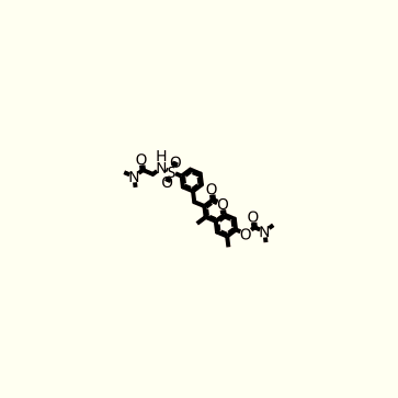 Cc1cc2c(C)c(Cc3cccc(S(=O)(=O)NCC(=O)N(C)C)c3)c(=O)oc2cc1OC(=O)N(C)C